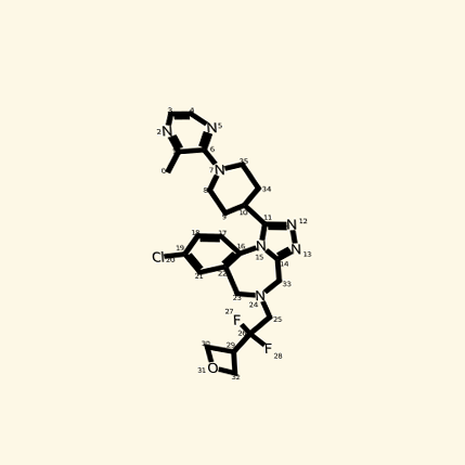 Cc1nccnc1N1CCC(c2nnc3n2-c2ccc(Cl)cc2CN(CC(F)(F)C2COC2)C3)CC1